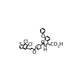 O=C(O)CC(NC(=O)C1CCN(C(=O)/C=C/c2cc3ccsc3c(Cl)c2Cl)CC1)c1cccc(Oc2ccccc2)c1